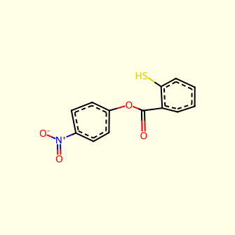 O=C(Oc1ccc([N+](=O)[O-])cc1)c1ccccc1S